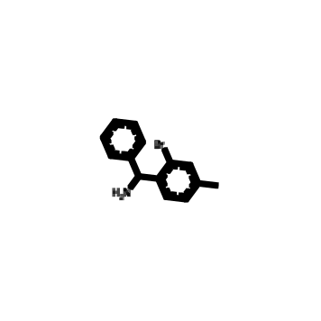 Cc1ccc(C(N)c2ccccc2)c(Br)c1